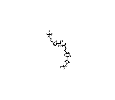 C=C(CCc1nnc([C@H]2C[C@@H](OC(F)(F)F)C2)o1)NC(=O)c1ccn(CCOC(F)(F)F)n1